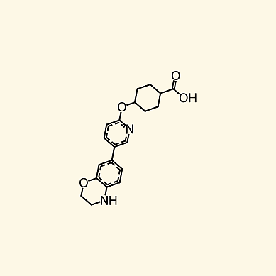 O=C(O)C1CCC(Oc2ccc(-c3ccc4c(c3)OCCN4)cn2)CC1